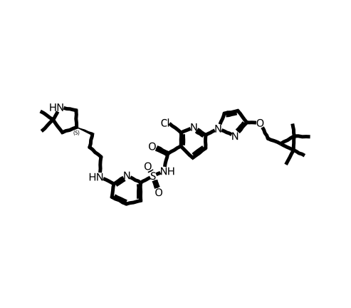 CC1(C)C[C@H](CCCNc2cccc(S(=O)(=O)NC(=O)c3ccc(-n4ccc(OCC5C(C)(C)C5(C)C)n4)nc3Cl)n2)CN1